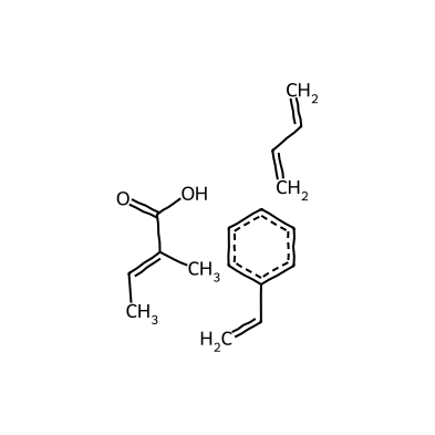 C/C=C(\C)C(=O)O.C=CC=C.C=Cc1ccccc1